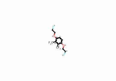 FCCOc1ccc(OCCF)c(C(F)(F)F)c1C(F)(F)F